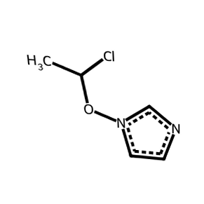 CC(Cl)On1ccnc1